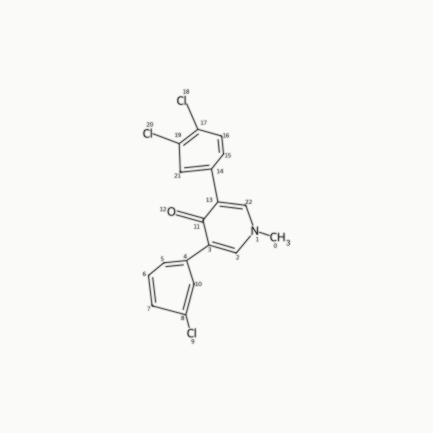 Cn1cc(-c2cccc(Cl)c2)c(=O)c(-c2ccc(Cl)c(Cl)c2)c1